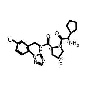 N[C@@H](C(=O)N1C[C@H](F)C[C@H]1C(=O)NCc1cc(Cl)ccc1-n1cncn1)C1CCCC1